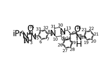 CC(C)n1ncn(-c2ccc(N3CCN(CC(C(=O)Nc4ccccc4)c4ccccc4)CC3)cc2)c1=O